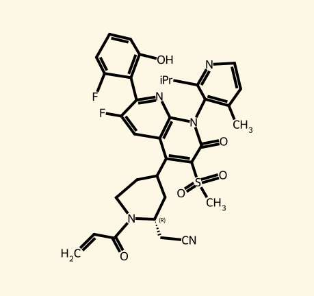 C=CC(=O)N1CCC(c2c(S(C)(=O)=O)c(=O)n(-c3c(C)ccnc3C(C)C)c3nc(-c4c(O)cccc4F)c(F)cc23)C[C@@H]1CC#N